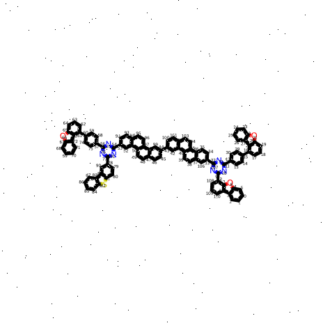 c1ccc2c(c1)oc1c(-c3nc(-c4ccc(-c5cccc6oc7ccccc7c56)cc4)nc(-c4ccc5c(ccc6c7cc(-c8ccc9ccc%10c%11cc(-c%12nc(-c%13ccc(-c%14cccc%15oc%16ccccc%16c%14%15)cc%13)nc(-c%13ccc%14sc%15ccccc%15c%14c%13)n%12)ccc%11ccc%10c9c8)ccc7ccc56)c4)n3)cccc12